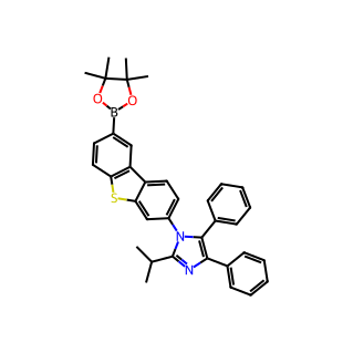 CC(C)c1nc(-c2ccccc2)c(-c2ccccc2)n1-c1ccc2c(c1)sc1ccc(B3OC(C)(C)C(C)(C)O3)cc12